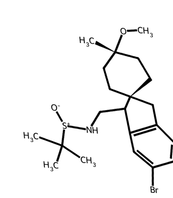 CO[C@]1(C)CC[C@@]2(CC1)Cc1ccc(Br)cc1C2CN[S+]([O-])C(C)(C)C